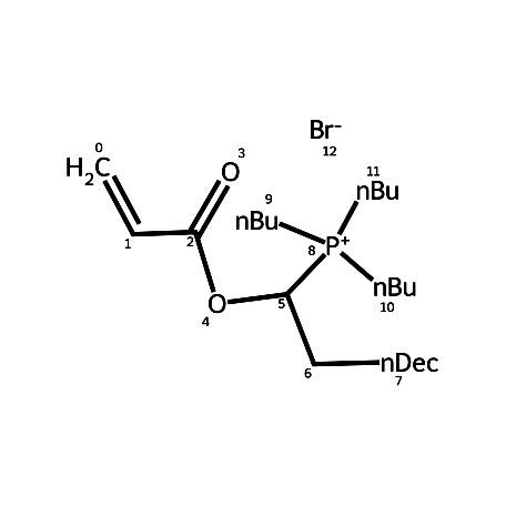 C=CC(=O)OC(CCCCCCCCCCC)[P+](CCCC)(CCCC)CCCC.[Br-]